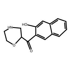 O=C(c1cc2ccccc2cc1O)C1CNCCO1